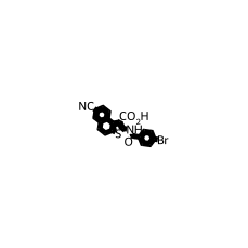 N#Cc1ccc2c(c1)CCc1sc(NC(=O)c3ccc(Br)cc3)c(C(=O)O)c1-2